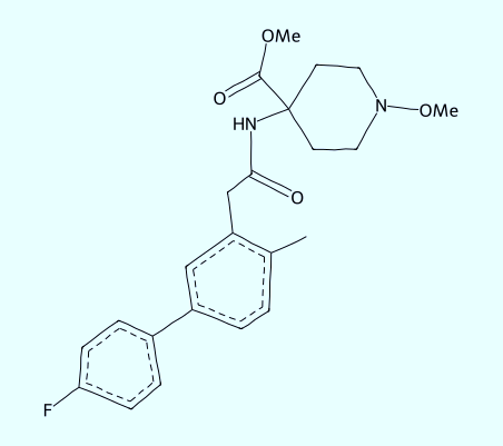 COC(=O)C1(NC(=O)Cc2cc(-c3ccc(F)cc3)ccc2C)CCN(OC)CC1